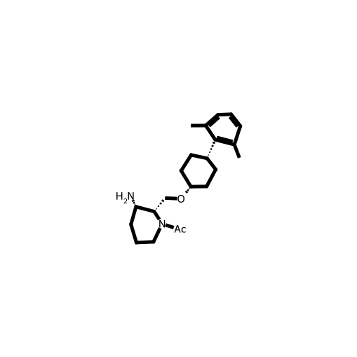 CC(=O)N1CCC[C@H](N)[C@@H]1CO[C@H]1CC[C@@H](c2c(C)cccc2C)CC1